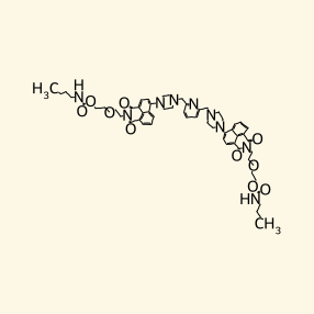 CCCCNC(=O)OCCOCCN1C(=O)c2cccc3c(N4CCN(Cc5cccc(CN6CCN(c7ccc8c9c(cccc79)C(=O)N(CCOCCOC(=O)NCCCC)C8=O)CC6)n5)CC4)ccc(c23)C1=O